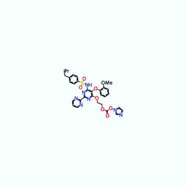 COc1ccccc1Oc1c(NS(=O)(=O)c2ccc(CC(C)C)cc2)nc(-c2ncccn2)nc1OCCOC(=O)On1ccnc1